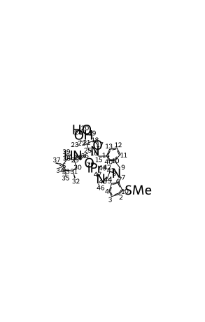 CSc1ccccc1CN(Cc1cccc(CN2O[C@@H](CO)[C@@H]([C@H](C)O)[C@H]2C(=O)N[C@H]2C[C@@H](C)C(C)(C)[C@@H](C)[C@@H]2C)c1)[C@@H](CC(C)C)CN(C)C